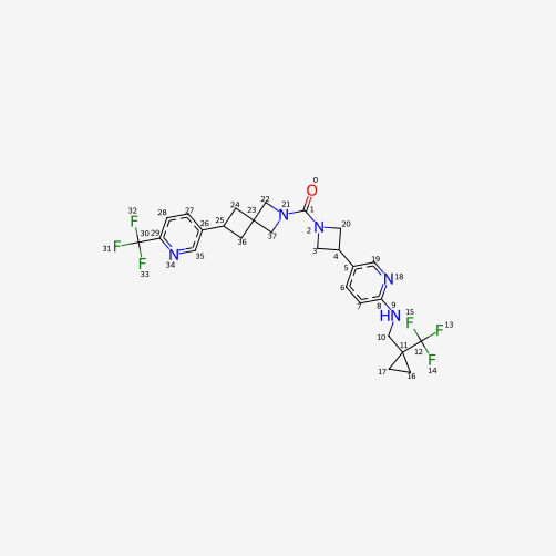 O=C(N1CC(c2ccc(NCC3(C(F)(F)F)CC3)nc2)C1)N1CC2(CC(c3ccc(C(F)(F)F)nc3)C2)C1